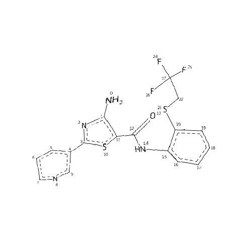 Nc1nc(-c2cccnc2)sc1C(=O)Nc1ccccc1SCC(F)(F)F